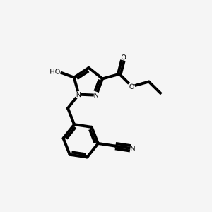 CCOC(=O)c1cc(O)n(Cc2cccc(C#N)c2)n1